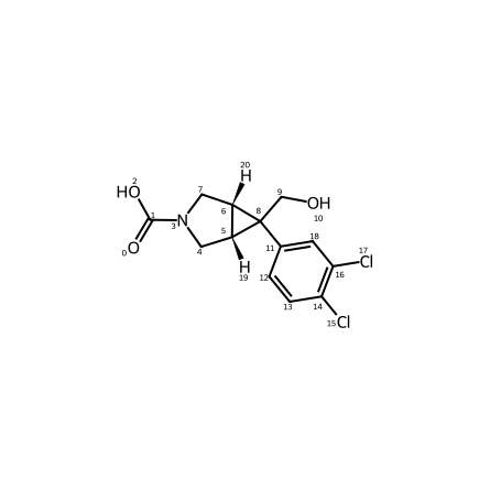 O=C(O)N1C[C@@H]2[C@H](C1)C2(CO)c1ccc(Cl)c(Cl)c1